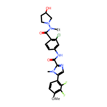 CCN(C(=O)c1ccc(NC(=O)c2ncc(-c3ccc(OC)c(F)c3F)n2C)cc1Cl)N1CCC(O)C1